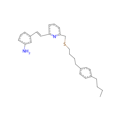 CCCCc1ccc(CCCCSCc2cccc(C=Cc3cccc(N)c3)n2)cc1